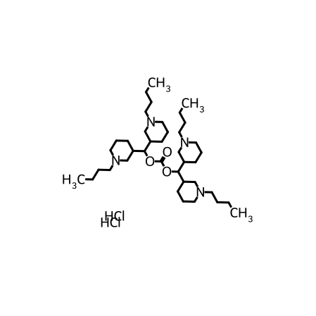 CCCCN1CCCC(C(OC(=O)OC(C2CCCN(CCCC)C2)C2CCCN(CCCC)C2)C2CCCN(CCCC)C2)C1.Cl.Cl